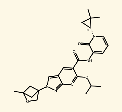 CC(C)Oc1nc2nn(C34COC(C)(C3)C4)cc2cc1C(=O)Nc1cccn([C@@H]2CC2(C)C)c1=O